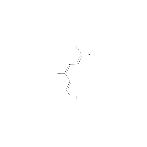 C/C=C/C(C)=C\C=C(\C)CC